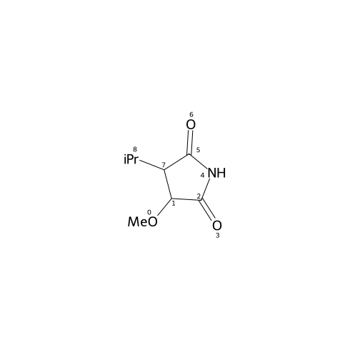 COC1C(=O)NC(=O)C1C(C)C